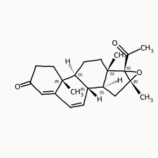 CC(=O)[C@@]12O[C@]1(C)C[C@H]1[C@@H]3C=CC4=CC(=O)CC[C@]4(C)[C@H]3CC[C@@]12C